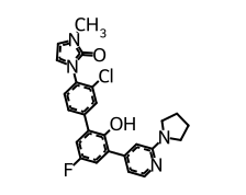 Cn1ccn(-c2ccc(-c3cc(F)cc(-c4ccnc(N5CCCC5)c4)c3O)cc2Cl)c1=O